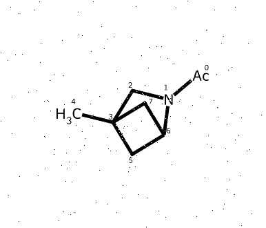 CC(=O)N1CC2(C)CC1C2